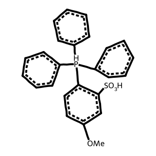 COc1ccc([PH](c2ccccc2)(c2ccccc2)c2ccccc2)c(S(=O)(=O)O)c1